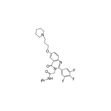 CC(C)NC(=O)Cn1c(-c2cc(F)c(F)c(F)c2)nc2ccc(OCCCN3CCCCC3)cc2c1=O